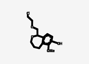 COc1c(O)ccc2c1CCCOC2COCCCl